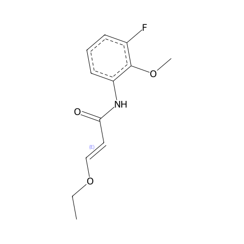 CCO/C=C/C(=O)Nc1cccc(F)c1OC